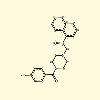 O=C(c1ccc(F)cc1)C1CCN(C[C@@H](O)c2cccc3ccccc23)CC1